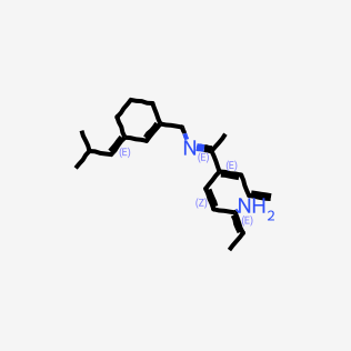 C=C/C=C(\C=C/C(N)=C\C)C(/C)=N/CC1=C/C(=C/C(C)C)CCC1